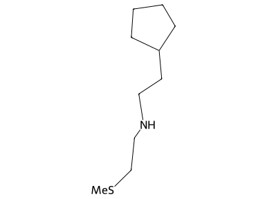 CSCCNCCC1CCCC1